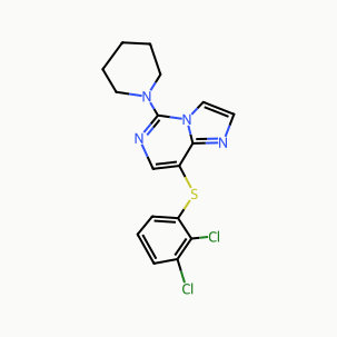 Clc1cccc(Sc2cnc(N3CCCCC3)n3ccnc23)c1Cl